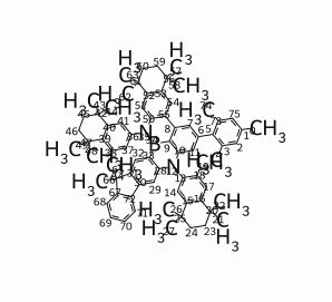 Cc1cc(C)c(-c2cc3c4c(c2)N(c2cc5c(cc2C)C(C)(C)CCC5(C)C)c2cc5c(cc2B4N(c2ccc4c(c2)C(C)(C)CCC4(C)C)c2cc4c(cc2-3)C(C)(C)CCC4(C)C)C(C)(C)c2ccccc2-5)c(C)c1